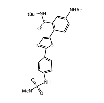 CNS(=O)(=O)Nc1ccc(-c2ncc(-c3ccc(NC(C)=O)cc3[S+]([O-])NC(C)(C)C)s2)cc1